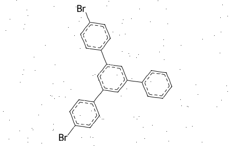 Brc1ccc(-c2cc(-c3ccccc3)cc(-c3ccc(Br)cc3)c2)cc1